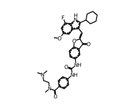 COc1cc(F)c2[nH]c(C3CCCCC3)c(C=C3Oc4ccc(NC(=O)Nc5ccc(C(=O)N(C)CCN(C)C)cc5)cc4C3=O)c2c1